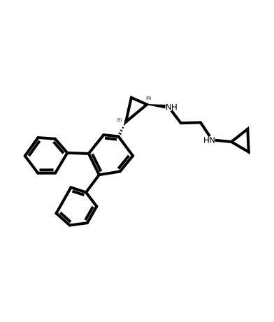 c1ccc(-c2ccc([C@@H]3C[C@H]3NCCNC3CC3)cc2-c2ccccc2)cc1